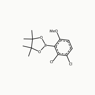 COc1ccc(Cl)c(Cl)c1B1OC(C)(C)C(C)(C)O1